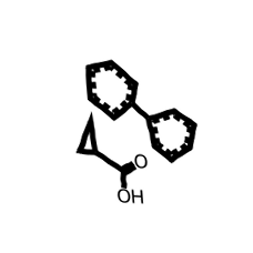 O=C(O)C1CC1.c1ccc(-c2ccccc2)cc1